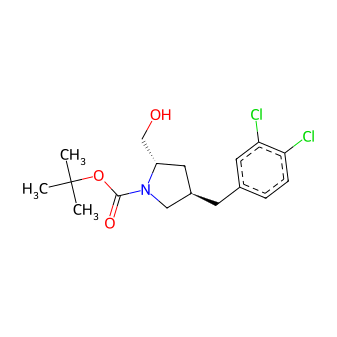 CC(C)(C)OC(=O)N1C[C@H](Cc2ccc(Cl)c(Cl)c2)C[C@H]1CO